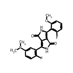 COc1cccc(F)c1C1=C2C(=O)NC(c3cc(N(C)C)ccc3F)=C2C(=O)N1